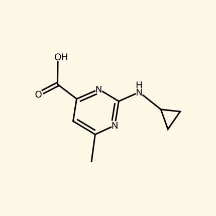 Cc1cc(C(=O)O)nc(NC2CC2)n1